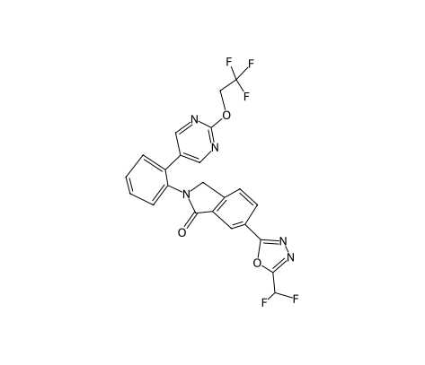 O=C1c2cc(-c3nnc(C(F)F)o3)ccc2CN1c1ccccc1-c1cnc(OCC(F)(F)F)nc1